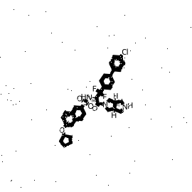 O=C([C@H](NS(=O)(=O)c1ccc2cc(OC3CCCC3)ccc2c1)C(F)(F)c1ccc(-c2ccc(Cl)cc2)cc1)N1C[C@H]2CNC[C@H]2C1